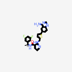 C[C@H](NC(=O)c1cccnc1NCc1ccc(-c2ccc3ncnc(N)c3c2)s1)c1cc(F)cc(F)c1